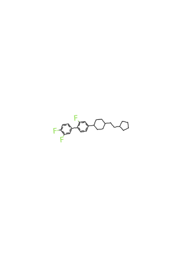 Fc1ccc(-c2ccc(C3CCC(CCC4CCCC4)CC3)cc2F)cc1F